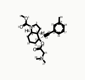 COC(=O)N1CC[C@@H]2[C@H]1CCC[C@]2(C#Cc1cccc(C)c1)OC(=O)CN(C)C